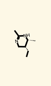 CC[C@@H]1CN=C(C)N[C@@H]1C